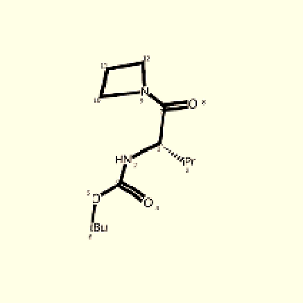 CC(C)[C@H](NC(=O)OC(C)(C)C)C(=O)N1CCC1